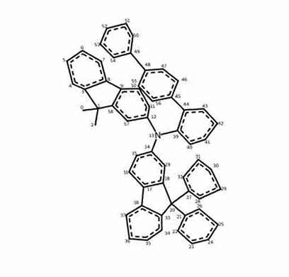 CC1(C)c2ccccc2-c2ccc(N(c3ccc4c(c3)C(c3ccccc3)(c3ccccc3)c3ccccc3-4)c3ccccc3-c3ccc(-c4ccccc4)cc3)cc21